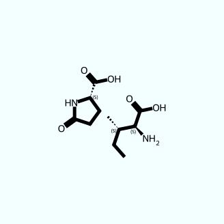 CC[C@H](C)[C@H](N)C(=O)O.O=C1CC[C@@H](C(=O)O)N1